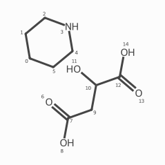 C1CCNCC1.O=C(O)CC(O)C(=O)O